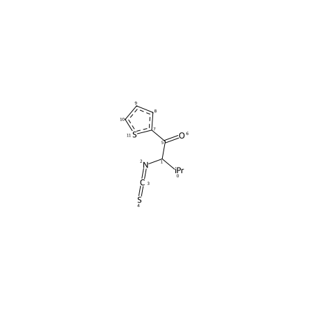 CC(C)C(N=C=S)C(=O)c1cccs1